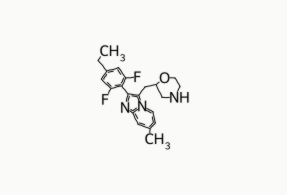 CCc1cc(F)c(-c2nc3cc(C)ccn3c2CC2CNCCO2)c(F)c1